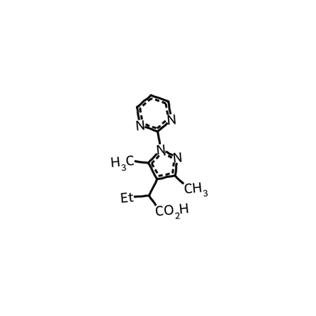 CCC(C(=O)O)c1c(C)nn(-c2ncccn2)c1C